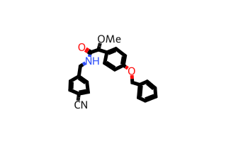 COC(C(=O)NCc1ccc(C#N)cc1)c1ccc(OCc2ccccc2)cc1